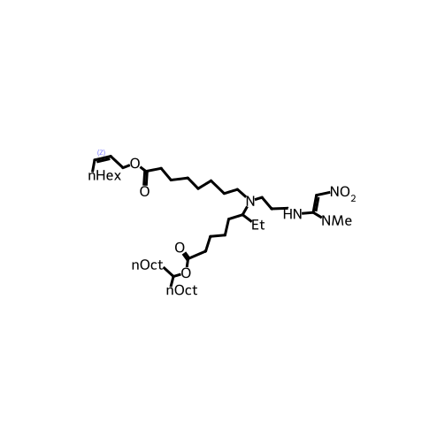 CCCCCC/C=C\COC(=O)CCCCCCCN(CCCNC(=C[N+](=O)[O-])NC)C(CC)CCCCC(=O)OC(CCCCCCCC)CCCCCCCC